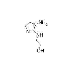 NN1CCN=C1NCCO